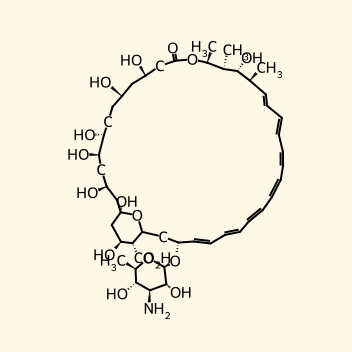 C[C@@H]1[C@H](O)[C@@H](C)/C=C/C=C/C=C/C=C/C=C/C=C/C=C/[C@H](O[C@@H]2O[C@H](C)[C@@H](O)[C@H](N)[C@H]2O)CC2O[C@](O)(C[C@@H](O)C[C@@H](O)[C@H](O)CC[C@@H](O)C[C@@H](O)CC(=O)O[C@H]1C)C[C@H](O)[C@H]2C(=O)O